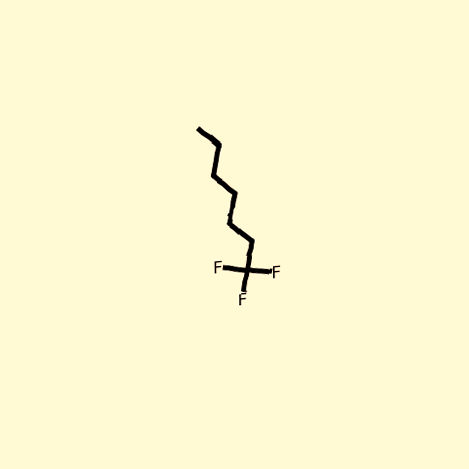 CCCCCCC(F)(F)F